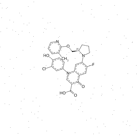 Cc1cccnc1OC[C@H]1CCCN1c1cc2c(cc1F)c(=O)c(C(=O)O)cn2-c1ccc(O)c(Cl)c1